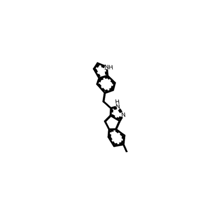 Cc1ccc2c(c1)-c1n[nH]c(Cc3ccc4[nH]ccc4c3)c1C2